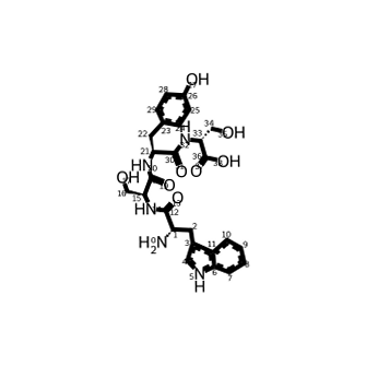 N[C@@H](Cc1c[nH]c2ccccc12)C(=O)N[C@@H](CO)C(=O)N[C@@H](Cc1ccc(O)cc1)C(=O)N[C@H](CO)C(=O)O